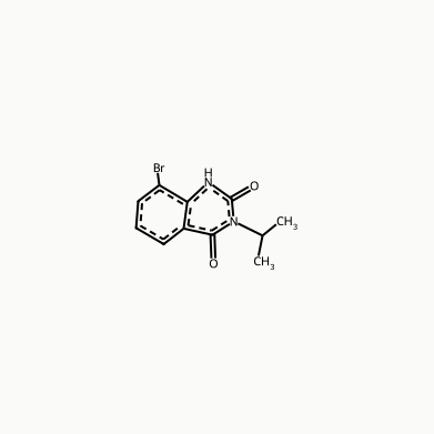 CC(C)n1c(=O)[nH]c2c(Br)cccc2c1=O